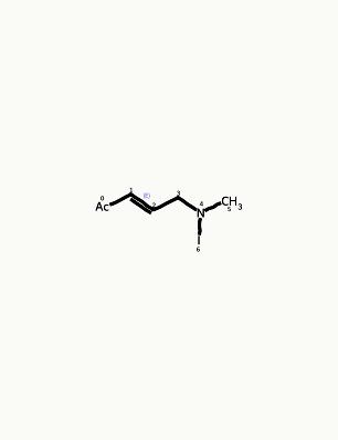 CC(=O)/C=C/CN(C)I